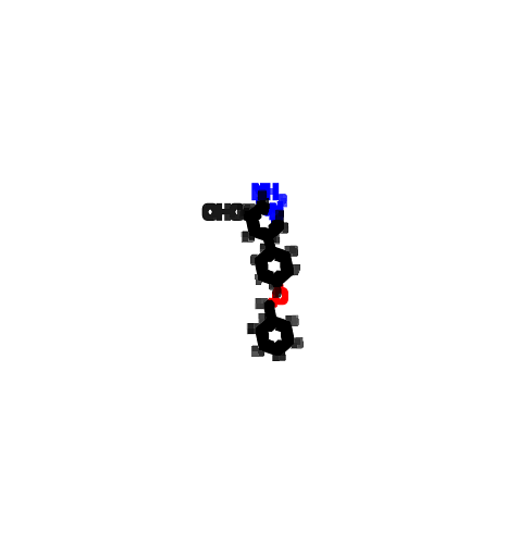 Nc1ncc(-c2ccc(OCc3ccccc3)cc2)cc1C=O